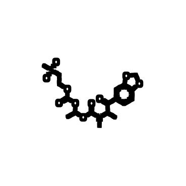 CC(OC(=O)OCCS(C)(=O)=O)OC(=O)N(C)C(C)C(=O)c1ccc2c(c1)OCO2